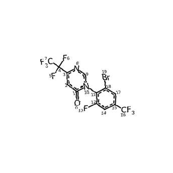 O=c1cc(C(F)(F)C(F)(F)F)ncn1-c1c(F)cc(C(F)(F)F)cc1Br